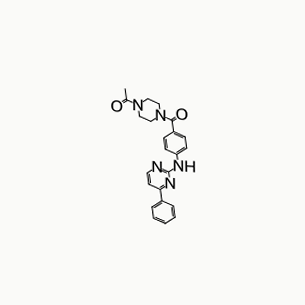 CC(=O)N1CCN(C(=O)c2ccc(Nc3nccc(-c4ccccc4)n3)cc2)CC1